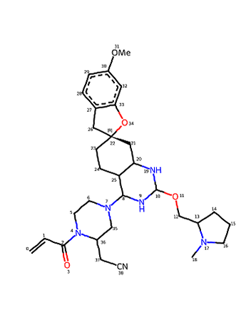 C=CC(=O)N1CCN(C2NC(OCC3CCCN3C)NC3C[C@@]4(CCC32)Cc2ccc(OC)cc2O4)CC1CC#N